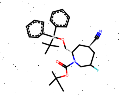 CC(C)(C)OC(=O)N1CC(F)C[C@H](C#N)C[C@H]1CO[Si](c1ccccc1)(c1ccccc1)C(C)(C)C